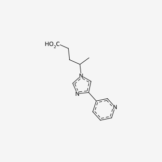 CC(CCC(=O)O)n1cnc(-c2cccnc2)c1